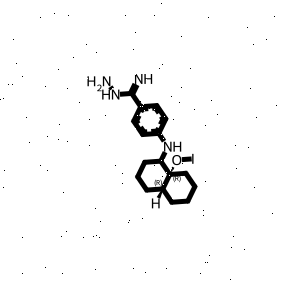 N=C(NN)c1ccc(NC2CCC[C@H]3CCCC[C@]23OI)cc1